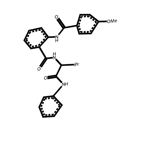 COc1ccc(C(=O)Nc2ccccc2C(=O)NC(C(=O)Nc2ccccc2)C(C)C)cc1